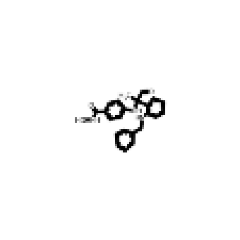 CC(C=O)(Nc1ccc(C(=O)NO)cc1)c1ccccc1NCc1ccccc1